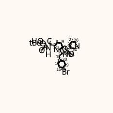 CC(C)(C)OC(=O)NC(C(=O)O)c1cccc(C(Cc2ccc(Br)cc2)NS(=O)(=O)c2cccnc2)n1